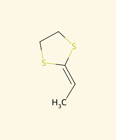 CC=C1SCCS1